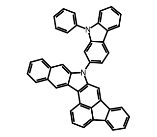 c1ccc(-n2c3ccccc3c3ccc(-n4c5cc6ccccc6cc5c5c6cccc7c6c(cc54)-c4ccccc4-7)cc32)cc1